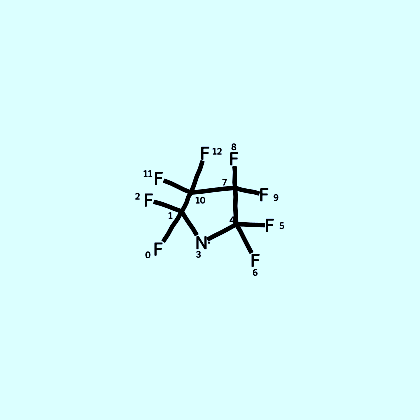 FC1(F)[N]C(F)(F)C(F)(F)C1(F)F